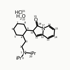 CC(C)N(CCC1CCCCC1C1C=C2C=CC=CN2C1=O)C(C)C.Cl.O